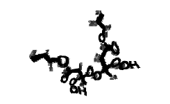 C=CCOC(=O)CC(C)(OO)OOC(C)(CC(=O)OCC=C)OO